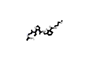 C=CC(=C1/OCC/C1=C(/C)NCc1cccc(C(=O)NCCCOC)c1F)/C(C)=C/C=N\C(=C)N